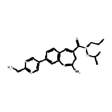 CCCN(OC(C)C)C(=O)C1=Cc2ccc(-c3cnc(CN)nc3)cc2N=C(N)C1